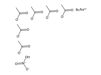 CC(=O)[O-].CC(=O)[O-].CC(=O)[O-].CC(=O)[O-].CC(=O)[O-].CC(=O)[O-].O=[N+]([O-])O.[La+3].[Ru+3]